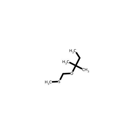 CCC(C)(C)OCSC